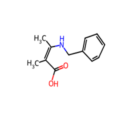 CC(NCc1ccccc1)=C(C)C(=O)O